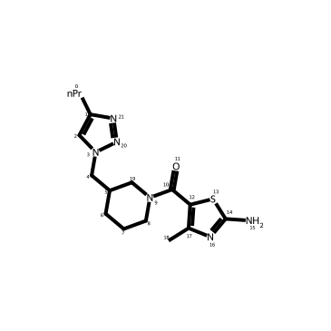 CCCc1cn(CC2CCCN(C(=O)c3sc(N)nc3C)C2)nn1